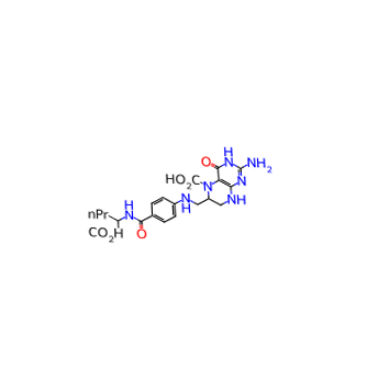 CCCC(NC(=O)c1ccc(NCC2CNc3nc(N)[nH]c(=O)c3N2C(=O)O)cc1)C(=O)O